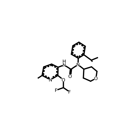 Cc1ccc(NC(=O)N(c2ccccc2C(C)C)C2CCOCC2)c(OC(F)F)n1